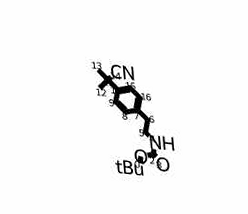 CC(C)(C)OC(=O)NCCc1ccc(C(C)(C)C#N)cc1